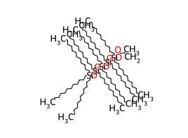 C=C(C)C(=O)O[Si](CCCCCCCCCCCC)(CCCCCCCCCCCC)O[Si](CCCCCCCCCCCC)(CCCCCCCCCCCC)O[Si](CCCCCCCCCCCC)(CCCCCCCCCCCC)O[Si](CCCCCCCCCCCC)(CCCCCCCCCCCC)O[Si](CCCCCCCCCCCC)(CCCCCCCCCCCC)CCCCCCCCCCCC